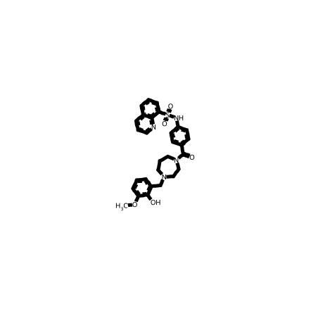 COc1cccc(CN2CCCN(C(=O)c3ccc(NS(=O)(=O)c4cccc5cccnc45)cc3)CC2)c1O